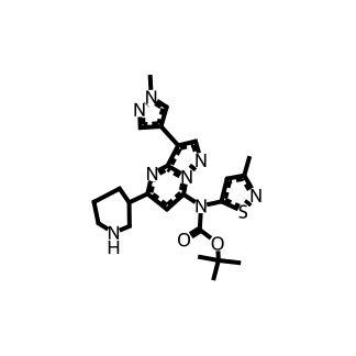 Cc1cc(N(C(=O)OC(C)(C)C)c2cc(C3CCCNC3)nc3c(-c4cnn(C)c4)cnn23)sn1